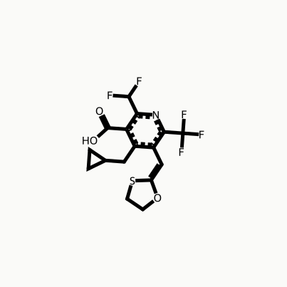 O=C(O)c1c(C(F)F)nc(C(F)(F)F)c(C=C2OCCS2)c1CC1CC1